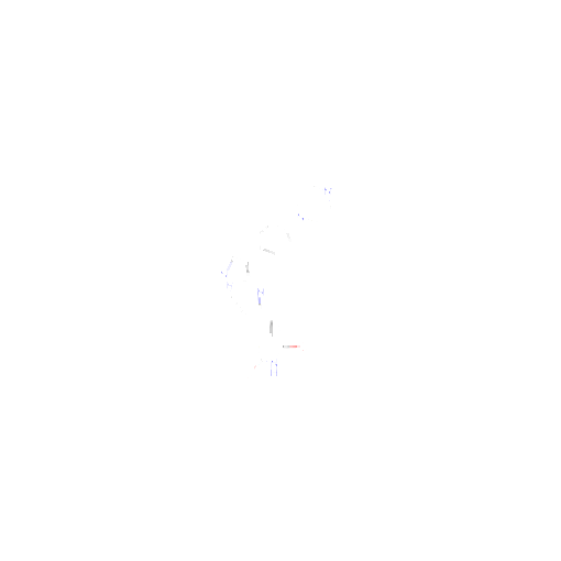 CN1CCN(c2ccc(-c3cnn4ccc(/C=C5\SC(=O)NC5=O)nc34)cc2)CC1